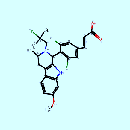 COc1ccc2c3c([nH]c2c1)C(c1c(F)cc(/C=C/C(=O)O)cc1F)N(CC(C)(C)F)C(C)C3